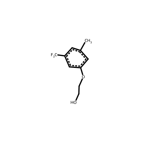 Cc1cc(OCCO)cc(C(F)(F)F)c1